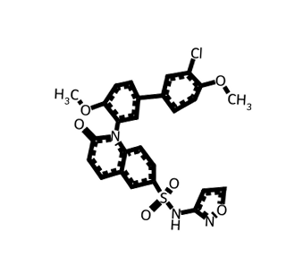 COc1ccc(-c2ccc(OC)c(-n3c(=O)ccc4cc(S(=O)(=O)Nc5ccon5)ccc43)c2)cc1Cl